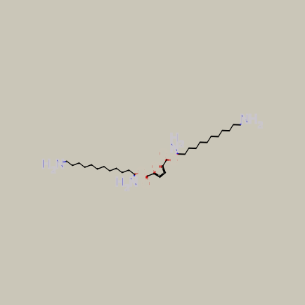 NCCCCCCCCCCCC(N)OC(=O)c1ccc(C(=O)OC(N)CCCCCCCCCCCN)o1